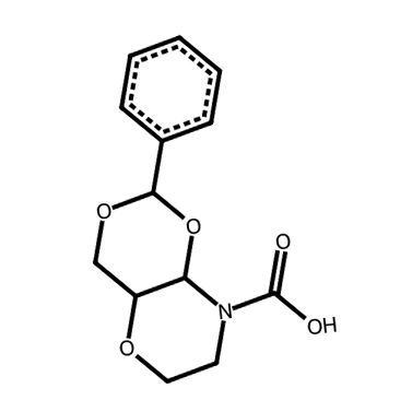 O=C(O)N1CCOC2COC(c3ccccc3)OC21